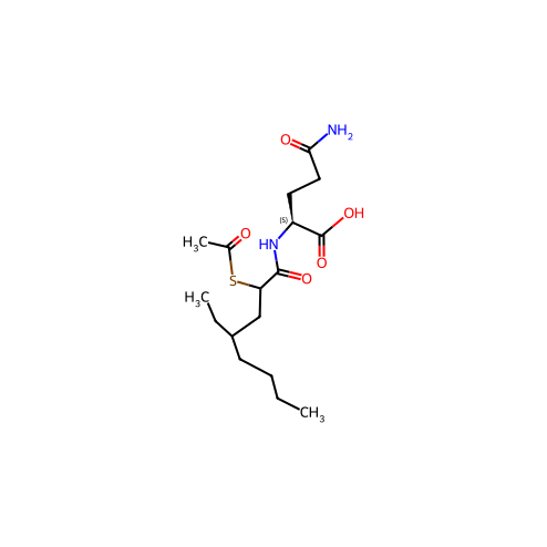 CCCCC(CC)CC(SC(C)=O)C(=O)N[C@@H](CCC(N)=O)C(=O)O